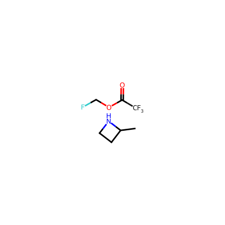 CC1CCN1.O=C(OCF)C(F)(F)F